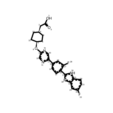 O=C(O)C[C@H]1CC[C@@H](Oc2cnc(-c3ccc(-c4nc5cc(F)ccc5[nH]4)c(F)c3)cn2)CC1